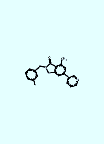 Cc1cc(-c2cccnc2)cc2c1C(=O)N(Cc1cccc(F)c1)C2